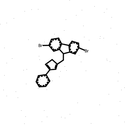 Brc1ccc2c(c1)C(CC1=CC(c3ccccc3)=CC1)c1cc(Br)ccc1-2